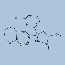 CN1CC(c2cccc(Br)c2)(c2ccc3c(c2)CCCO3)NC1=S